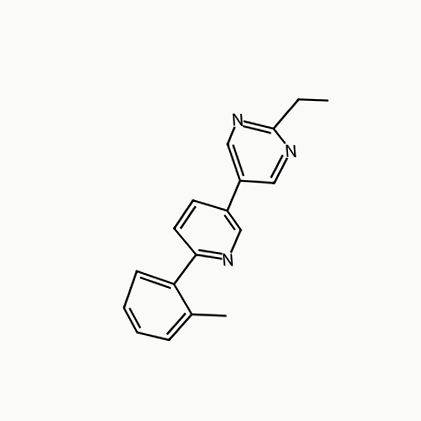 CCc1ncc(-c2ccc(-c3ccccc3C)nc2)cn1